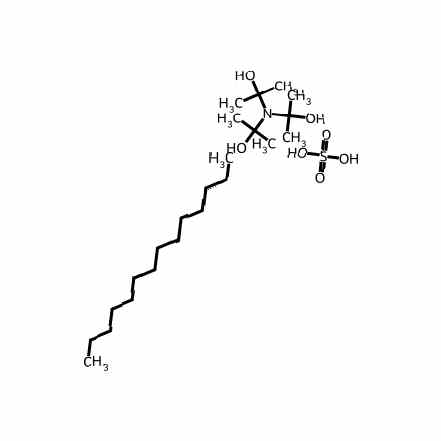 CC(C)(O)N(C(C)(C)O)C(C)(C)O.CCCCCCCCCCCCCC.O=S(=O)(O)O